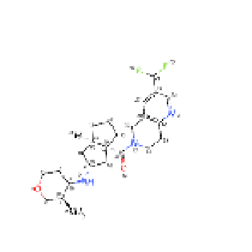 C[C@H]1COCC[C@H]1N[C@@H]1C[C@H]2CCC[C@@]2(C(=O)N2CCc3ncc(C(F)F)cc3C2)C1